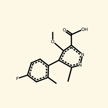 COc1c(C(=O)O)nnc(C)c1-c1ccc(F)cc1C